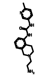 Cc1ccc(NC(=O)Nc2cccc3c2CCN(CCN)C3)cn1